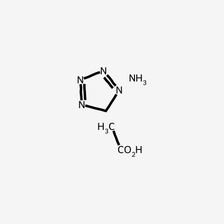 C1N=NN=N1.CC(=O)O.N